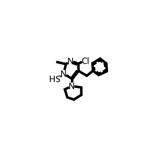 CC1N=C(Cl)C(Cc2ccccc2)=C(N2CCCCC2)N1S